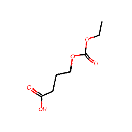 CCOC(=O)OCCCC(=O)O